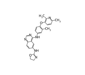 Cc1ccc(Oc2ccc(Nc3ncnc4ccc(NC5=NCCO5)cc34)cc2C)c(C)n1